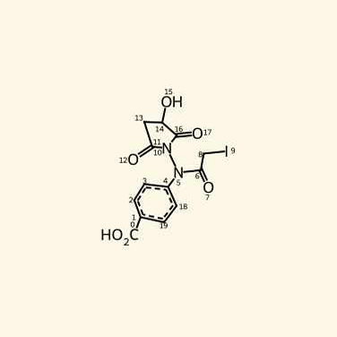 O=C(O)c1ccc(N(C(=O)CI)N2C(=O)CC(O)C2=O)cc1